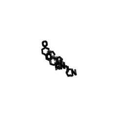 C[C@]12CC=C3C=C4CCC(=O)C[C@]45CC[C@]3(O5)[C@@H]1CC[C@@H]2NCc1cccnc1